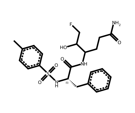 Cc1ccc(S(=O)(=O)N[C@@H](Cc2ccccc2)C(=O)NC(CCC(N)=O)C(O)CF)cc1